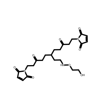 O=C(CCC(CCNOCCO)CCC(=O)CCN1C(=O)C=CC1=O)CCN1C(=O)C=CC1=O